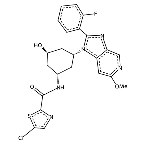 COc1cc2c(cn1)nc(-c1ccccc1F)n2[C@H]1C[C@H](O)C[C@@H](NC(=O)c2ncc(Cl)s2)C1